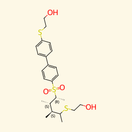 CC(SCCO)[C@@H](C)[C@H](C)[C@@H](C)S(=O)(=O)c1ccc(-c2ccc(SCCO)cc2)cc1